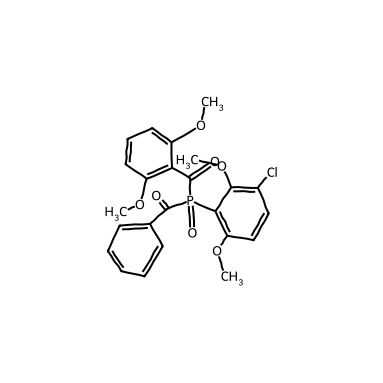 COc1cccc(OC)c1C(=O)P(=O)(C(=O)c1ccccc1)c1c(OC)ccc(Cl)c1OC